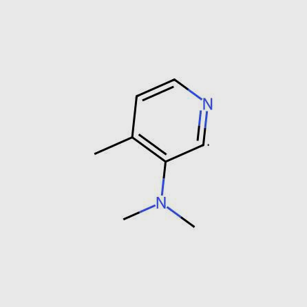 Cc1ccn[c]c1N(C)C